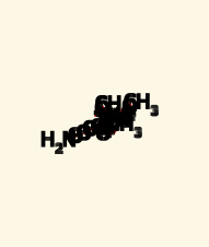 CCOc1ccc(C(=O)N2CCN(c3ccc(-c4ccccc4OCC)nc3CN(CCCOCCOCCOCCOCCN)S(=O)(=O)c3ccccc3[N+](=O)[O-])[C@H](CC)C2)c(C(F)(F)F)c1